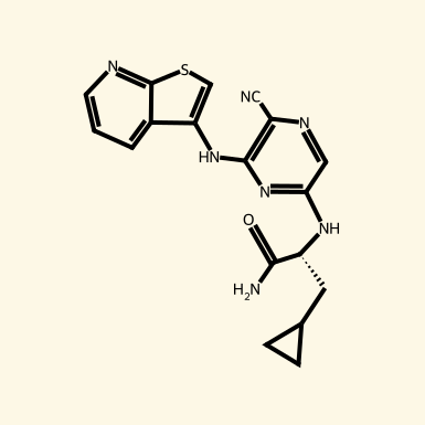 N#Cc1ncc(N[C@H](CC2CC2)C(N)=O)nc1Nc1csc2ncccc12